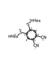 CCCCCCSc1cc(C#N)c(C#N)cc1SCCCCCC